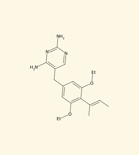 CC=C(C)c1c(OCC)cc(Cc2cnc(N)nc2N)cc1OCC